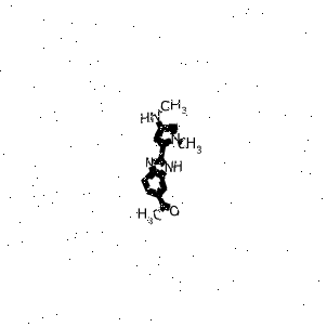 CNc1cc(-c2nc3ccc(C(C)=O)cc3[nH]2)n(C)c1